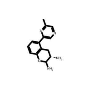 Cc1cncc(-c2cccc3c2C[C@H](N)C(N)O3)n1